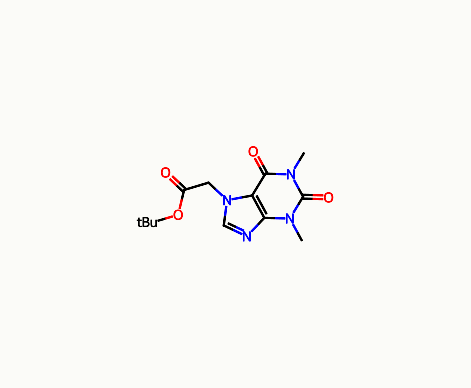 Cn1c(=O)c2c(ncn2CC(=O)OC(C)(C)C)n(C)c1=O